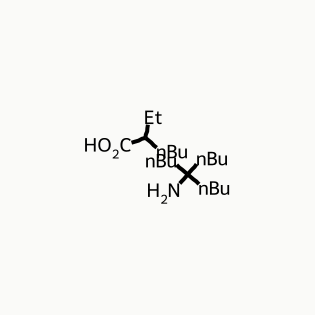 CCCCC(CC)C(=O)O.CCCCC(N)(CCCC)CCCC